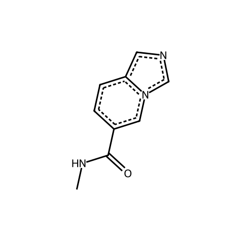 CNC(=O)c1ccc2cncn2c1